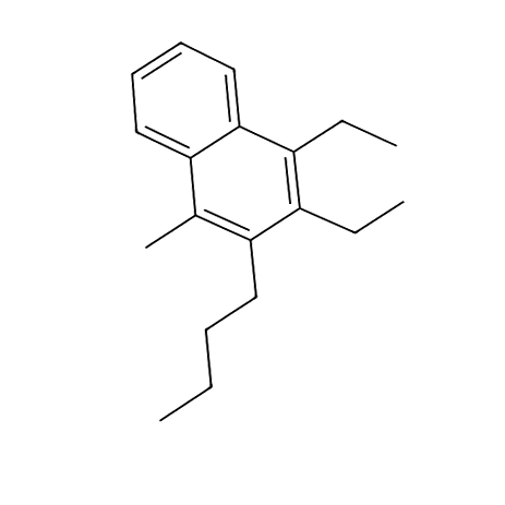 CCCCc1c(CC)c(CC)c2ccccc2c1C